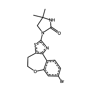 CC1(C)CN(c2nc3c(s2)CCOc2cc(Br)ccc2-3)C(=O)N1